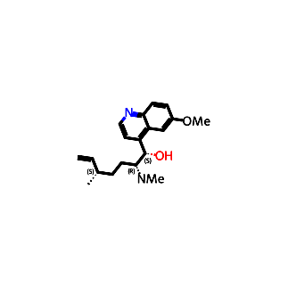 C=C[C@@H](C)CC[C@@H](NC)[C@@H](O)c1ccnc2ccc(OC)cc12